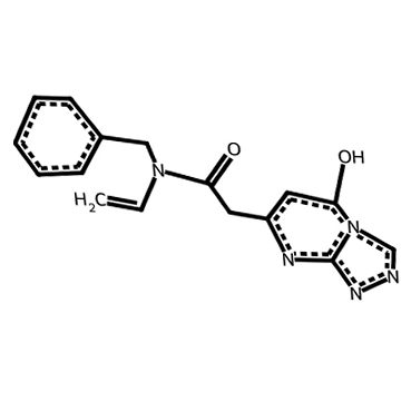 C=CN(Cc1ccccc1)C(=O)Cc1cc(O)n2cnnc2n1